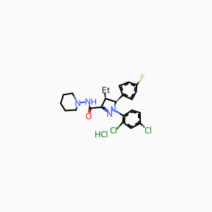 CC[C@@H]1C(C(=O)NN2CCCCC2)=NN(c2ccc(Cl)cc2Cl)[C@@H]1c1ccc(F)cc1.Cl